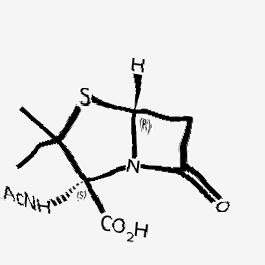 CC(=O)N[C@@]1(C(=O)O)N2C(=O)C[C@H]2SC1(C)C